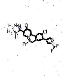 CC(C)N1Cc2cc(-c3cnn(C(F)F)c3)c(Cl)cc2-c2cc(=O)c(/C(=N/N)NN)cn21